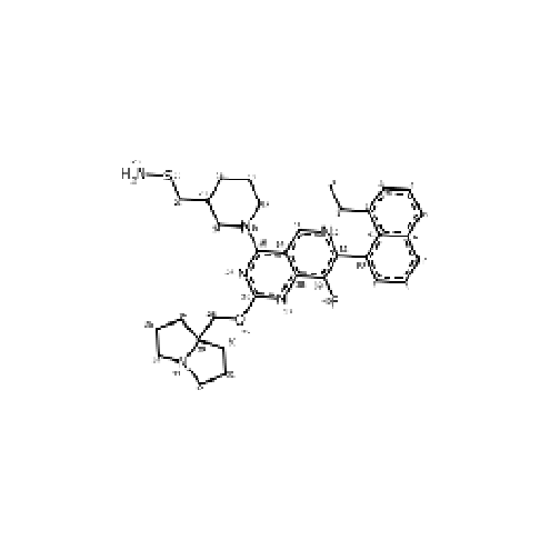 CCc1cccc2cccc(-c3ncc4c(N5CCCC(CSN)C5)nc(OCC56CCCN5CCC6)nc4c3F)c12